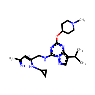 CC(=N)/C=C(/CNc1nc(OC2CCN(C)CC2)nc2c(C(C)C)cnn12)NC1CC1